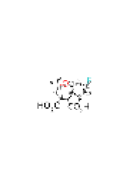 CC1(C)CC(C(=O)O)C(C(=O)O)c2ccc(F)cc2O1